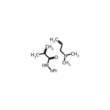 C=C(C)C(=O)NCCC.C=CCN(C)C